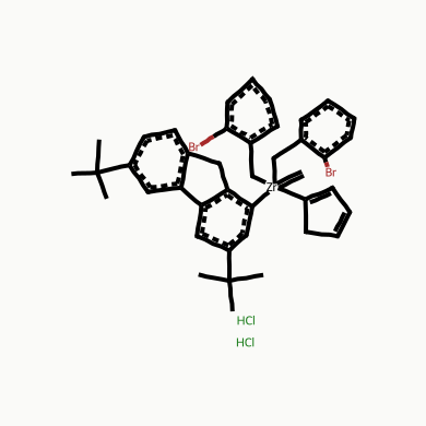 Cl.Cl.[CH2]=[Zr]([CH2]c1ccccc1Br)([CH2]c1ccccc1Br)([C]1=CC=CC1)[c]1cc(C(C)(C)C)cc2c1Cc1ccc(C(C)(C)C)cc1-2